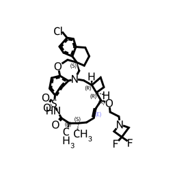 C[C@H]1C/C=C/[C@H](OCCN2CC(F)(F)C2)[C@@H]2CC[C@H]2CN2C[C@@]3(CCCc4cc(Cl)ccc43)COc3ccc(cc32)S(=O)(=O)NC(=O)[C@@H]1C